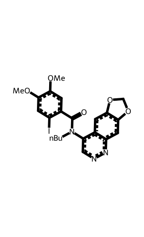 CCCCN(C(=O)c1cc(OC)c(OC)cc1I)c1cnnc2cc3c(cc12)OCO3